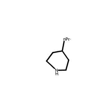 CC[CH]C1CCNCC1